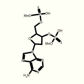 COP(O)(=S)OCC1OC(n2cnc3c(N)ncnc32)CC1OP(O)(=S)OC